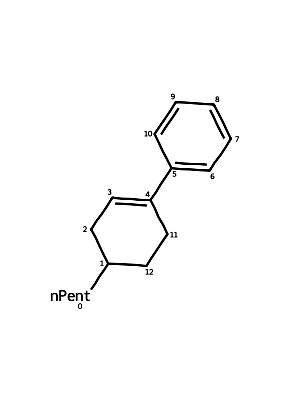 CCCCCC1CC=C(c2ccccc2)CC1